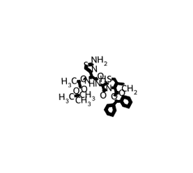 C=CC1=C(C(=O)OC(c2ccccc2)c2ccccc2)N2C(=O)C(NC(=O)C(=NOC(C)C(=O)OC(C)(C)C)c3csc(N)n3)[C@@H]2SC1